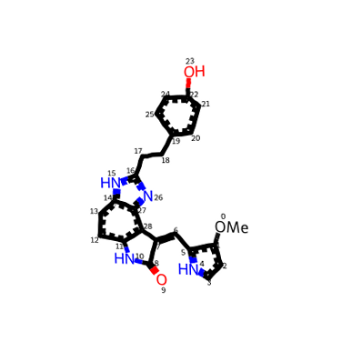 COc1cc[nH]c1C=C1C(=O)Nc2ccc3[nH]c(CCc4ccc(O)cc4)nc3c21